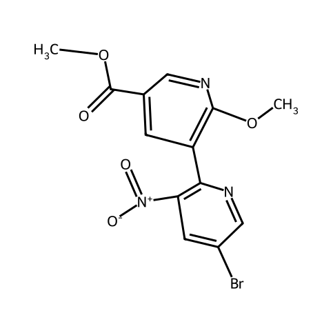 COC(=O)c1cnc(OC)c(-c2ncc(Br)cc2[N+](=O)[O-])c1